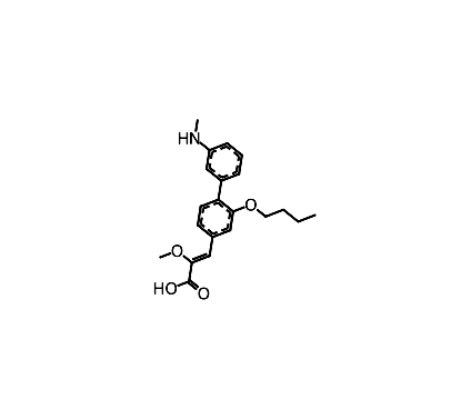 CCCCOc1cc(C=C(OC)C(=O)O)ccc1-c1cccc(NC)c1